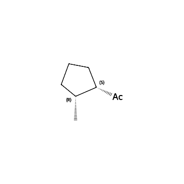 CC(=O)[C@H]1CCC[C@H]1C